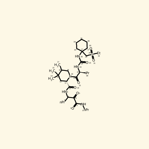 CCCNC(=O)C(=O)C(CCC)NC(=O)[C@@H]1CC(C)(C)C(C)CN1C(=O)[C@@H](NC(=O)NC1(CS(=O)(=O)CC)CCCCC1)C(C)C